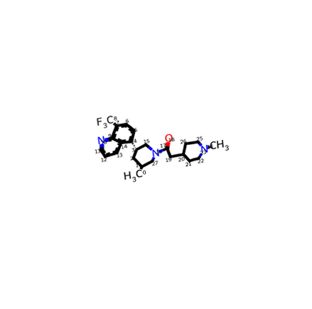 CC1C[C@H](c2ccc(C(F)(F)F)c3ncccc23)CN(C(=O)CC2CCN(C)CC2)C1